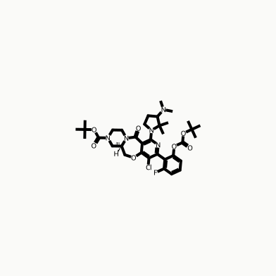 CN(C)C1CCN(c2nc(-c3c(F)cccc3OC(=O)OC(C)(C)C)c(Cl)c3c2C(=O)N2CCN(C(=O)OC(C)(C)C)C[C@@H]2CO3)C1(C)C